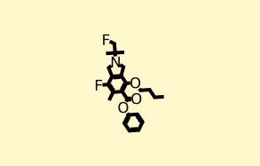 CCCCOc1c2c(c(F)c(C)c1C(=O)Oc1ccccc1)CN(C(C)(C)CF)C2